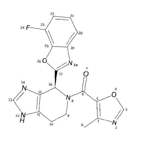 Cc1ncoc1C(=O)N1CCc2[nH]cnc2[C@H]1c1nc2cccc(F)c2o1